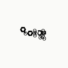 O=[SH](=O)N1CCOC12CCN(S(=O)(=O)c1ccc(Oc3ccccc3)cc1)CC2